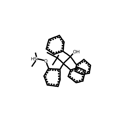 C[SiH](C)Oc1ccccc1C(c1ccccc1)(C(C)(C)C)C(O)(c1ccccc1)c1ccccc1